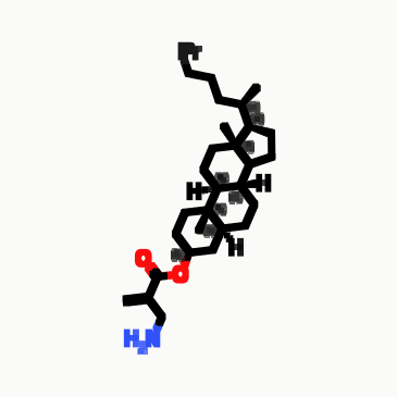 C=C(CN)C(=O)O[C@H]1CC[C@@]2(C)[C@@H](CC[C@H]3C4CC[C@H]([C@H](C)CCCC(C)C)[C@@]4(C)CC[C@@H]32)C1